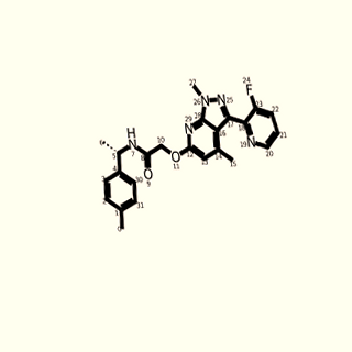 Cc1ccc([C@H](C)NC(=O)COc2cc(C)c3c(-c4ncccc4F)nn(C)c3n2)cc1